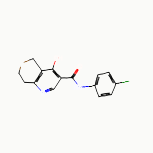 O=C(Nc1ccc(Cl)cc1)c1cnc2c(c1O)CSCC2